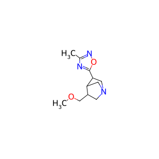 COCC1CN2CC(c3nc(C)no3)C1C2